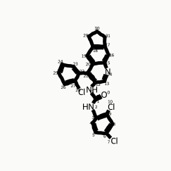 O=C(Nc1ccc(Cl)cc1Cl)Nc1cnc2cc3c(cc2c1-c1ccccc1Cl)CCC3